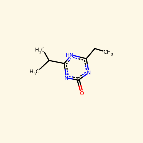 CCc1nc(=O)nc(C(C)C)[nH]1